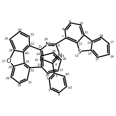 c1ccc(-c2nc(-c3cccc4c3sc3ccccc34)nc(-c3cccc4oc5cccc(-c6ccccc6)c5c34)n2)cc1